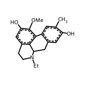 CCN1CCc2cc(O)c(OC)c3c2C1Cc1cc(O)c(C)cc1-3